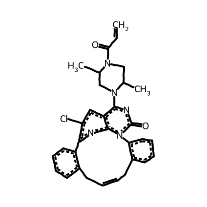 C=CC(=O)N1CC(C)N(c2nc(=O)n3c4nc(c(Cl)cc24)-c2ccccc2C/C=C\Cc2ccccc2-3)CC1C